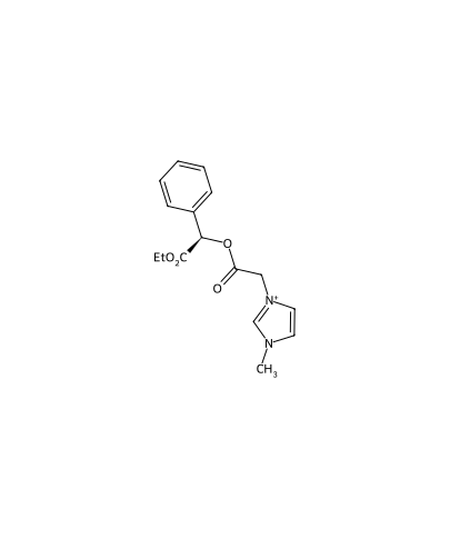 CCOC(=O)[C@H](OC(=O)C[n+]1ccn(C)c1)c1ccccc1